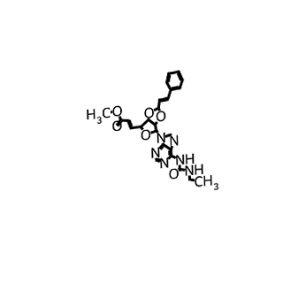 CCNC(=O)Nc1ncnc2c1ncn2C1OC(C=CC(=O)OC)C2OC(C=Cc3ccccc3)OC21